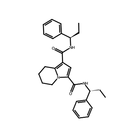 CC[C@@H](NC(=O)c1cc(C(=O)N[C@H](CC)c2ccccc2)n2c1CCCC2)c1ccccc1